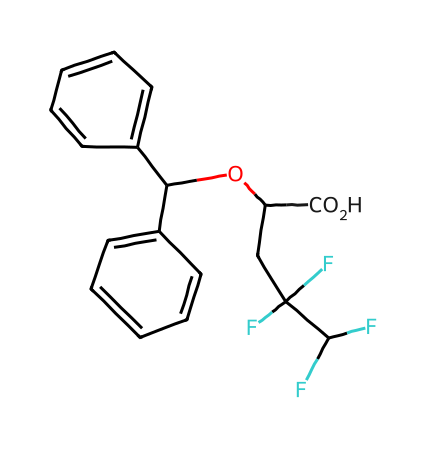 O=C(O)C(CC(F)(F)C(F)F)OC(c1ccccc1)c1ccccc1